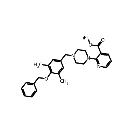 Cc1cc(CN2CCN(c3ncccc3C(=O)OC(C)C)CC2)cc(C)c1OCc1ccccc1